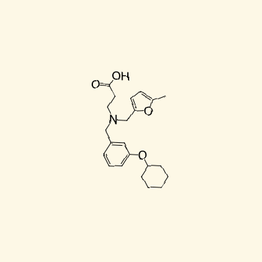 Cc1ccc(CN(CCC(=O)O)Cc2cccc(OC3CCCCC3)c2)o1